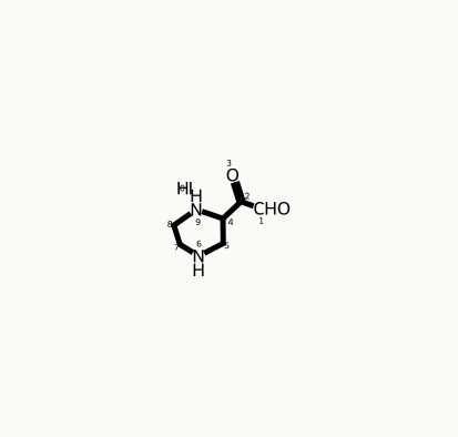 I.O=CC(=O)C1CNCCN1